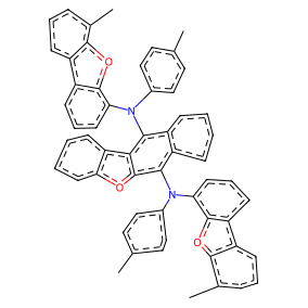 Cc1ccc(N(c2cccc3c2oc2c(C)cccc23)c2c3ccccc3c(N(c3ccc(C)cc3)c3cccc4c3oc3c(C)cccc34)c3c2oc2ccccc23)cc1